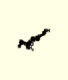 Cc1c(COc2cc(OCc3cncc(C#N)c3)c(CN)cc2Cl)cccc1-c1cccc(OCCCN2CC(O)C2)c1C